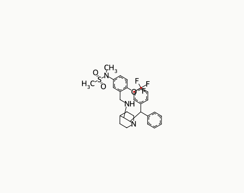 CN(c1ccc(OC(F)(F)F)c(CNC2C3CCN(CC3)C2C(c2ccccc2)c2ccccc2)c1)S(C)(=O)=O